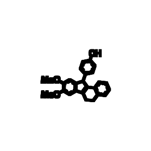 COc1cc2c(cc1OC)C(c1ccc(O)cc1)C1=C2CCc2ccccc21